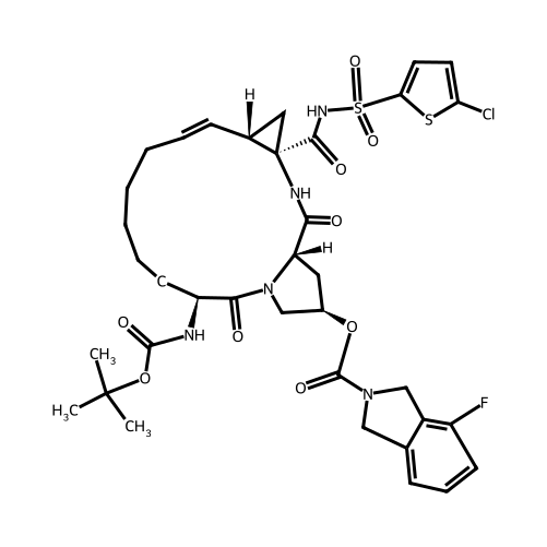 CC(C)(C)OC(=O)N[C@H]1CCCCC/C=C\[C@@H]2C[C@@]2(C(=O)NS(=O)(=O)c2ccc(Cl)s2)NC(=O)[C@@H]2C[C@@H](OC(=O)N3Cc4cccc(F)c4C3)CN2C1=O